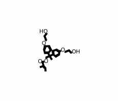 CC=C(C)C(=O)OCC(C)(c1ccc(OCCCO)cc1)c1ccc(OCCCO)cc1